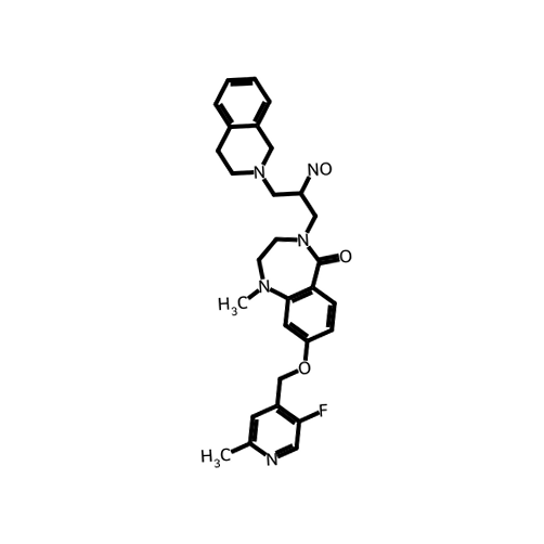 Cc1cc(COc2ccc3c(c2)N(C)CCN(CC(CN2CCc4ccccc4C2)N=O)C3=O)c(F)cn1